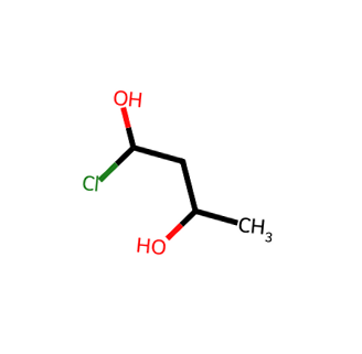 CC(O)CC(O)Cl